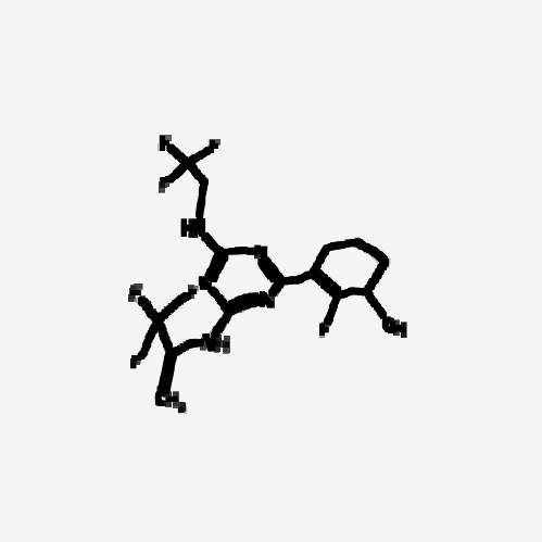 C=C(Nc1nc(NCC(F)(F)F)nc(C2=C(F)C(O)CCC2)n1)C(F)(F)F